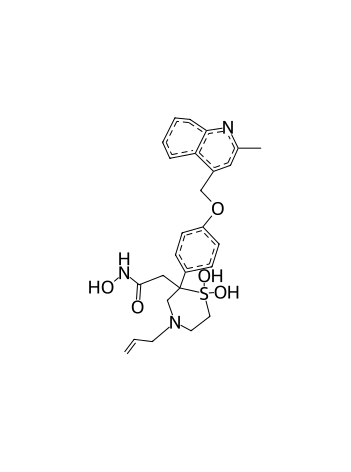 C=CCN1CCS(O)(O)C(CC(=O)NO)(c2ccc(OCc3cc(C)nc4ccccc34)cc2)C1